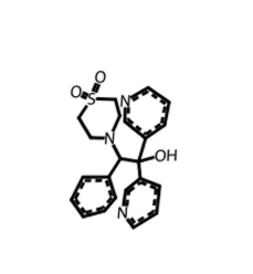 O=S1(=O)CCN(C(c2ccccc2)C(O)(c2cccnc2)c2cccnc2)CC1